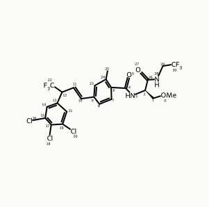 COC[C@@H](NC(=O)c1ccc(/C=C/C(c2cc(Cl)c(Cl)c(Cl)c2)C(F)(F)F)cc1C)C(=O)NCC(F)(F)F